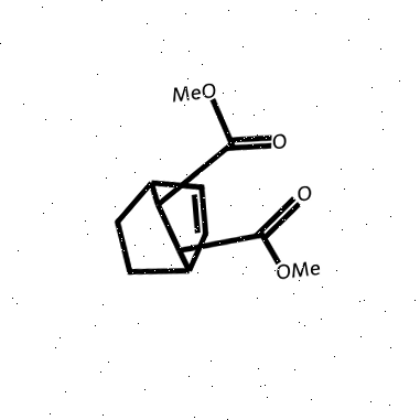 COC(=O)C1C2C=CC(CC2)C1C(=O)OC